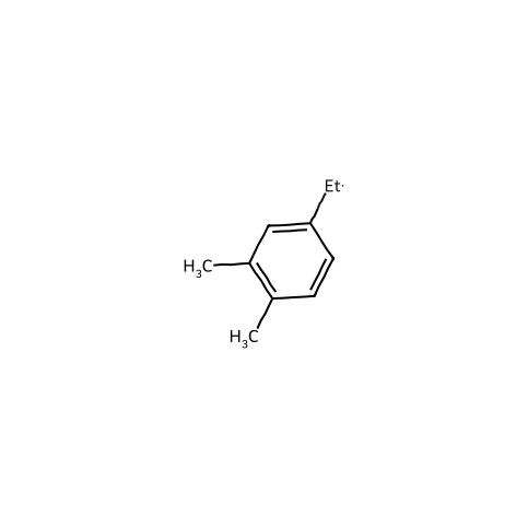 C[CH]c1ccc(C)c(C)c1